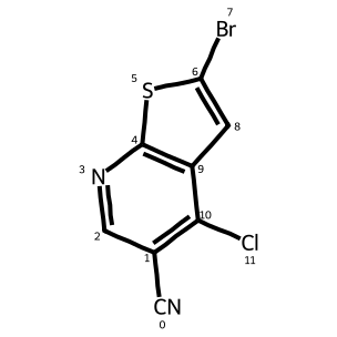 N#Cc1cnc2sc(Br)cc2c1Cl